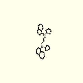 C(=CCN(c1ccccc1)c1cccc2ccccc12)CN(c1ccccc1)c1cccc2ccccc12